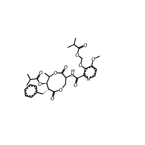 COc1ccnc(C(=O)NC2COC(=O)[C@H](Cc3ccccc3)[C@@H](OC(=O)C(C)C)C(C)OC2=O)c1OCOC(=O)C(C)C